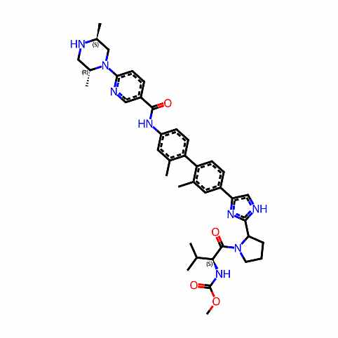 COC(=O)N[C@H](C(=O)N1CCCC1c1nc(-c2ccc(-c3ccc(NC(=O)c4ccc(N5C[C@H](C)NC[C@H]5C)nc4)cc3C)c(C)c2)c[nH]1)C(C)C